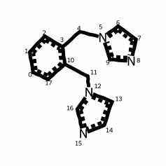 c1ccc(Cn2ccnc2)c(Cn2ccnc2)c1